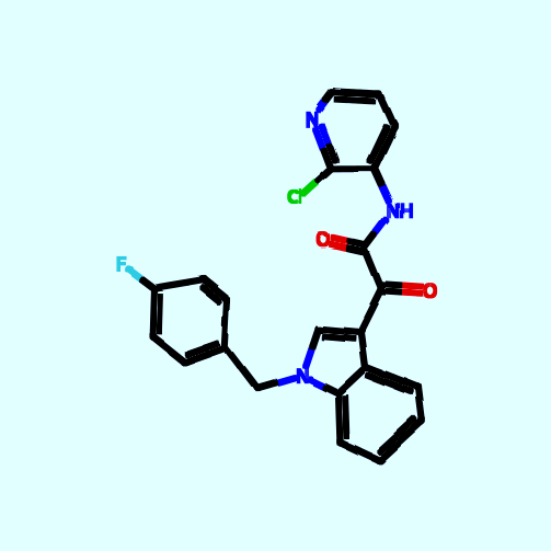 O=C(Nc1cccnc1Cl)C(=O)c1cn(Cc2ccc(F)cc2)c2ccccc12